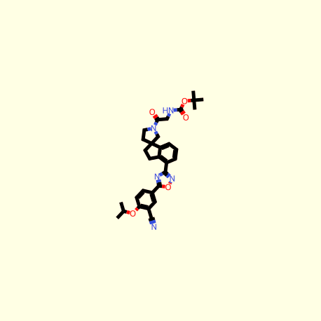 CC(C)Oc1ccc(-c2nc(-c3cccc4c3CCC43CCN(C(=O)CNC(=O)OC(C)(C)C)C3)no2)cc1C#N